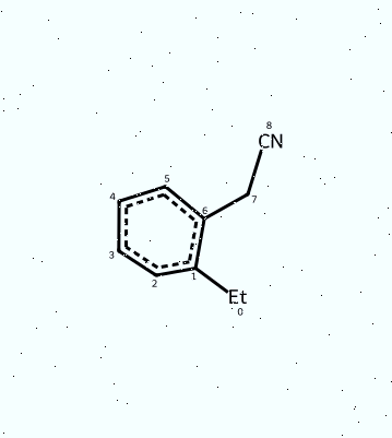 CCc1ccccc1CC#N